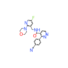 N#Cc1ccc(-c2nnccc2C(=O)NCc2cc(F)cnc2N2CCOCC2)cc1